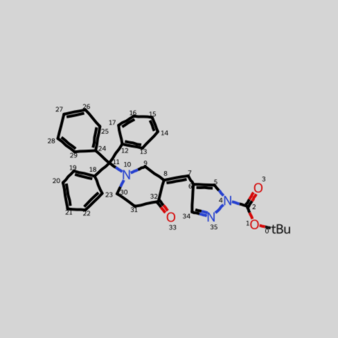 CC(C)(C)OC(=O)n1cc(/C=C2/CN(C(c3ccccc3)(c3ccccc3)c3ccccc3)CCC2=O)cn1